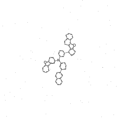 c1cc(-c2ccc3ccccc3c2)cc(N(c2cccc(-c3cccc4oc5c6ccccc6ccc5c34)c2)c2ccc3oc4ccccc4c3c2)c1